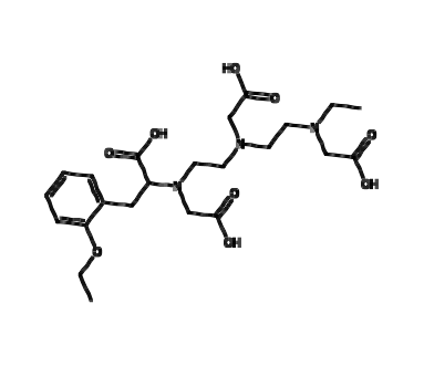 CCOc1ccccc1CC(C(=O)O)N(CCN(CCN(CC)CC(=O)O)CC(=O)O)CC(=O)O